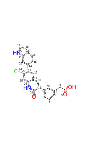 O=C(O)Cc1cccc(-c2cc3cc(-c4ccc5cc[nH]c5c4)c(Cl)cc3[nH]c2=O)c1